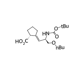 CCCCOC[C@@H](/C=C1\CCC[C@H]1C(=O)O)NC(=O)OC(C)(C)C